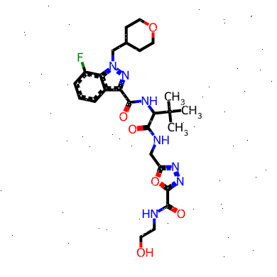 CC(C)(C)C(NC(=O)c1nn(CC2CCOCC2)c2c(F)cccc12)C(=O)NCc1nnc(C(=O)NCCO)o1